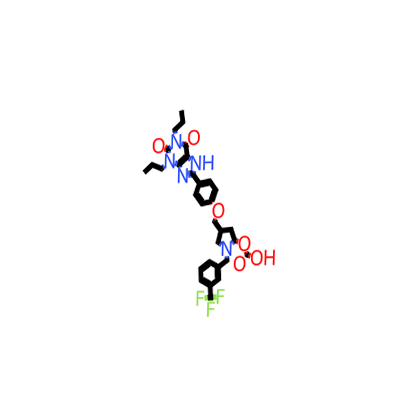 CCCn1c(=O)c2[nH]c(-c3ccc(OCC4CC(OC(=O)O)N(Cc5cccc(C(F)(F)F)c5)C4)cc3)nc2n(CCC)c1=O